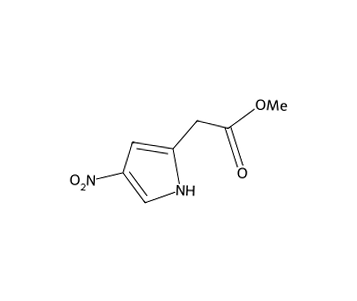 COC(=O)Cc1cc([N+](=O)[O-])c[nH]1